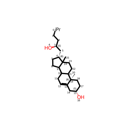 CC(C)CC[C@H](O)C[C@H]1CCC2C3CC=C4C[C@@H](O)CC[C@]4(C)C3CCC21C